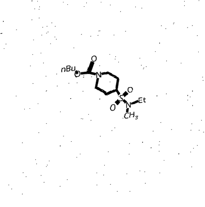 CCCCOC(=O)N1CCC(S(=O)(=O)N(C)CC)CC1